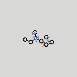 c1ccc(-c2cccc(-c3nc(-c4ccc5c(c4)oc4ccc6c7ccccc7n(-c7ccccc7)c6c45)nc(-c4ccccn4)n3)c2)cc1